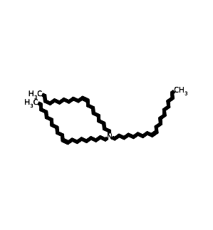 CCCCCCCCCC/C=C\CCCCCCCCN(CCCCCCCC/C=C\CCCCCCCCCC)CCCCCCCC/C=C\CCCCCCCCCC